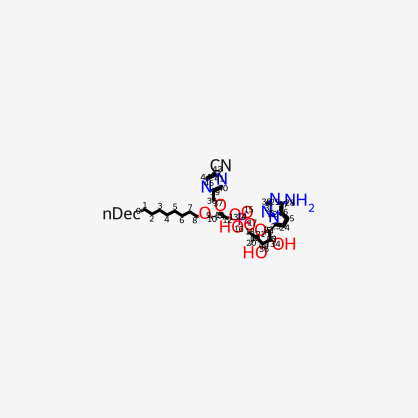 CCCCCCCCCCCCCCCCCCOC[C@@H](COP(=O)(O)OC[C@@]1(C)O[C@@H](c2ccc3c(N)ncnn23)[C@H](O)[C@@H]1O)OCc1cnc(C#N)cn1